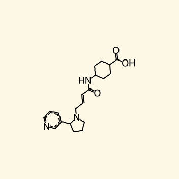 O=C(C=CCN1CCCC1c1cccnc1)NC1CCC(C(=O)O)CC1